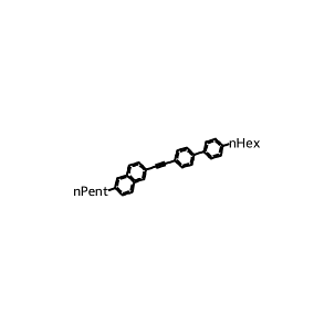 CCCCCCc1ccc(-c2ccc(C#Cc3ccc4cc(CCCCC)ccc4c3)cc2)cc1